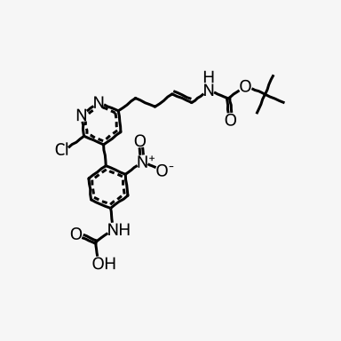 CC(C)(C)OC(=O)NC=CCCc1cc(-c2ccc(NC(=O)O)cc2[N+](=O)[O-])c(Cl)nn1